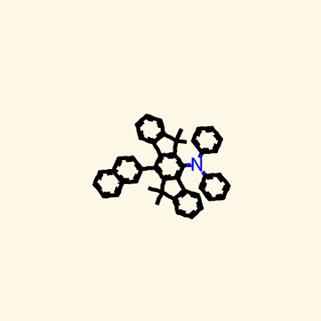 CC1(C)c2ccccc2-c2c(N(c3ccccc3)c3ccccc3)c3c(c(-c4ccc5ccccc5c4)c21)-c1ccccc1C3(C)C